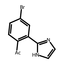 CC(=O)c1ccc(Br)cc1-c1ncc[nH]1